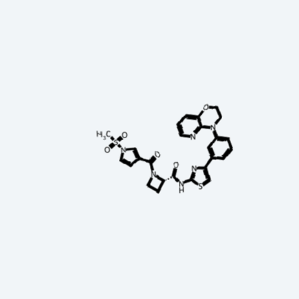 CS(=O)(=O)n1ccc(C(=O)N2CC[C@H]2C(=O)Nc2nc(-c3cccc(N4CCOc5cccnc54)c3)cs2)c1